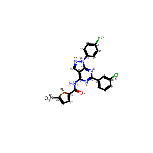 O=C(Nc1nc(-c2cccc(Cl)c2)nc2c1cnn2-c1ccc(F)cc1)c1ccc([N+](=O)[O-])s1